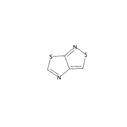 c1nc2csnc2s1